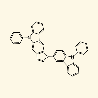 c1ccc(-n2c3ccccc3c3cc(-n4ccc5cc6c(cc54)c4ccccc4n6-c4ccccc4)ccc32)cc1